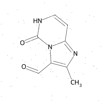 Cc1nc2cc[nH]c(=O)n2c1C=O